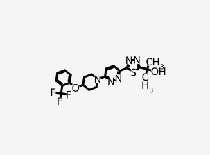 CC(C)(O)c1nnc(-c2ccc(N3CCC(Oc4ccccc4C(F)(F)F)CC3)nn2)s1